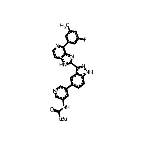 Cc1cc(F)cc(-c2nccc3[nH]c(-c4n[nH]c5ccc(-c6cncc(NC(=O)C(C)(C)C)c6)cc45)nc23)c1